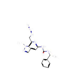 C[C@@H](NC(=O)Nc1cc2cnn(C)c2c(CN=[N+]=[N-])n1)c1ccccc1